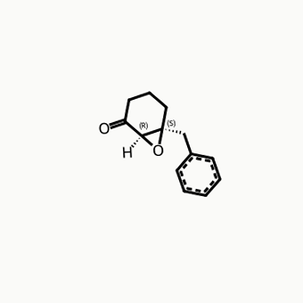 O=C1CCC[C@@]2(Cc3ccccc3)O[C@@H]12